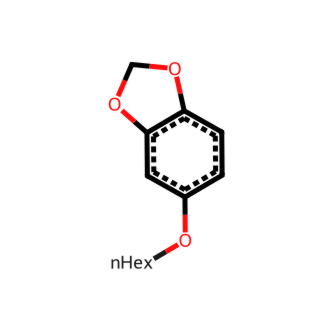 [CH2]CCCCCOc1ccc2c(c1)OCO2